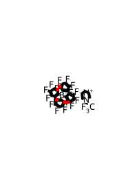 FC(F)(F)C[NH+]1CCCCC1.Fc1c(F)c(F)c([B-](c2c(F)c(F)c(F)c(F)c2F)(c2c(F)c(F)c(F)c(F)c2F)c2c(F)c(F)c(F)c(F)c2F)c(F)c1F